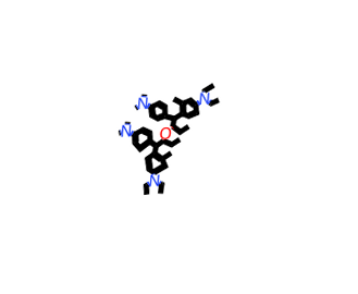 CCC(OC(CC)C(c1ccc(N(C)C)cc1)c1ccc(N(CC)CC)cc1C)C(c1ccc(N(C)C)cc1)c1ccc(N(CC)CC)cc1C